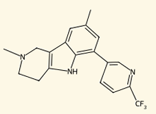 Cc1cc(-c2ccc(C(F)(F)F)nc2)c2[nH]c3c(c2c1)CN(C)CC3